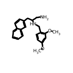 COc1ccc(CNC(CN)Cc2ccc3ccccc3c2)c(OC)c1